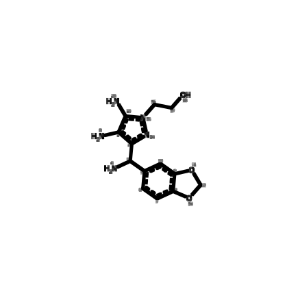 Nc1c(C(N)c2ccc3c(c2)OCO3)nn(CCO)c1N